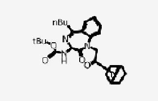 CCCCC1=NC(NC(=O)OC(C)(C)C)C(=O)N(CC(=O)N2CC3CCC(CC3)C2)c2ccccc21